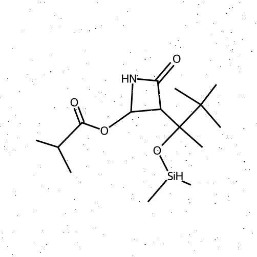 CC(C)C(=O)OC1NC(=O)C1C(C)(O[SiH](C)C)C(C)(C)C